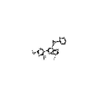 COc1ncc(-c2cc(C3CC3c3ccccn3)c3ncc(F)n3n2)c(OC)n1